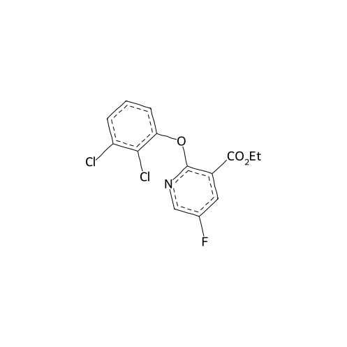 CCOC(=O)c1cc(F)cnc1Oc1cccc(Cl)c1Cl